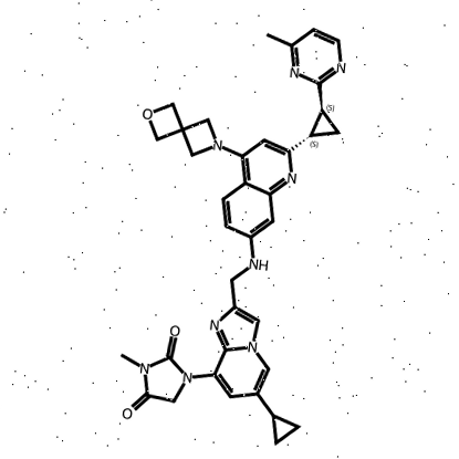 Cc1ccnc([C@H]2C[C@@H]2c2cc(N3CC4(COC4)C3)c3ccc(NCc4cn5cc(C6CC6)cc(N6CC(=O)N(C)C6=O)c5n4)cc3n2)n1